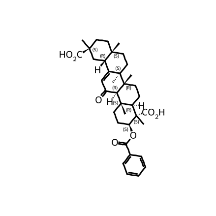 C[C@]1(C(=O)O)CC[C@]2(C)CC[C@]3(C)C(=CC(=O)[C@@H]4[C@@]5(C)CC[C@H](OC(=O)c6ccccc6)[C@@](C)(C(=O)O)[C@@H]5CC[C@]43C)[C@@H]2C1